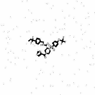 CCC(F)(F)c1ccc(CNC(=O)[C@H]2CN(C(=O)c3cscn3)CCN2S(=O)(=O)c2ccc(OC(F)(F)F)cc2)cc1